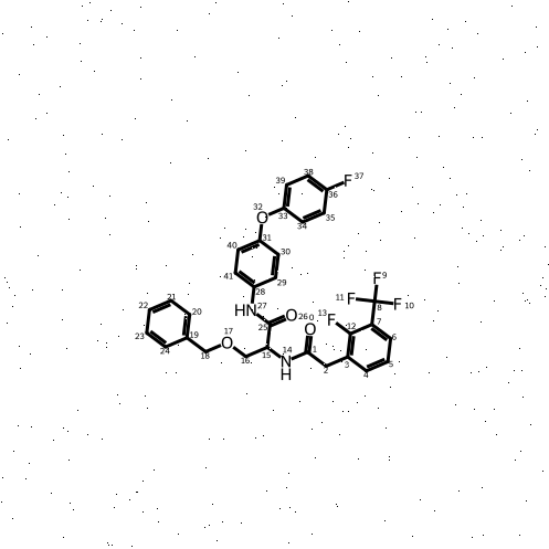 O=C(Cc1cccc(C(F)(F)F)c1F)NC(COCc1ccccc1)C(=O)Nc1ccc(Oc2ccc(F)cc2)cc1